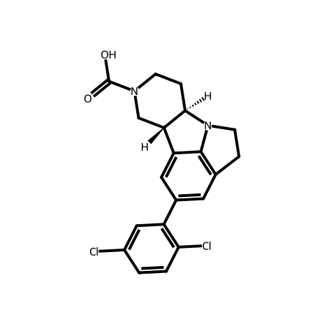 O=C(O)N1CC[C@@H]2[C@@H](C1)c1cc(-c3cc(Cl)ccc3Cl)cc3c1N2CC3